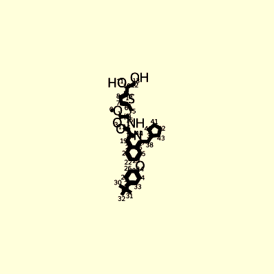 COC(=O)[C@H](Cc1ccc(C(O)CO)s1)NC(=O)c1cc2ccc(Oc3ccc(C(C)(C)C)cc3)cc2c(CC2CCCC2)n1